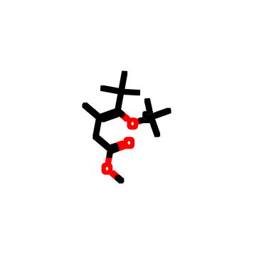 COC(=O)CC(C)=C(O[Si](C)(C)C)C(C)(C)C